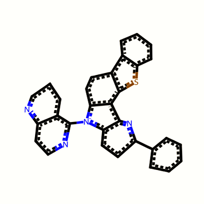 c1ccc(-c2ccc3c(n2)c2c4sc5ccccc5c4ccc2n3-c2nccc3ncccc23)cc1